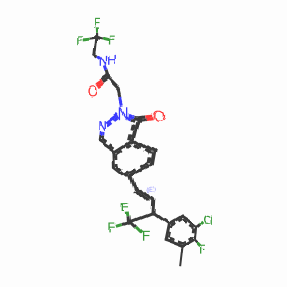 Cc1cc(C(/C=C/c2ccc3c(=O)n(CC(=O)NCC(F)(F)F)ncc3c2)C(F)(F)F)cc(Cl)c1F